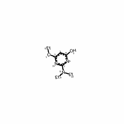 CCOc1cc(O)nc(N(CC)CC)n1